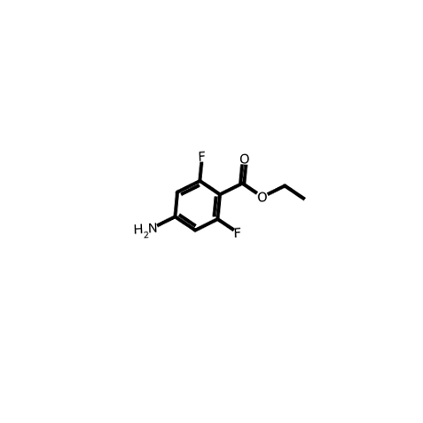 CCOC(=O)c1c(F)cc(N)cc1F